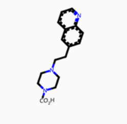 O=C(O)N1CCN(CCc2ccc3ncccc3c2)CC1